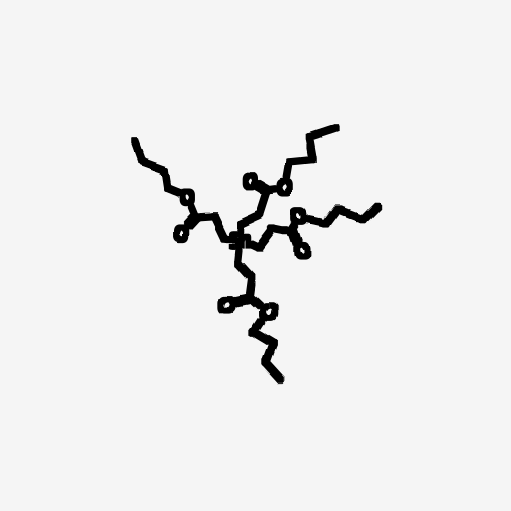 CCCCOC(=O)C[CH2][Sn]([CH2]CC(=O)OCCCC)([CH2]CC(=O)OCCCC)[CH2]CC(=O)OCCCC